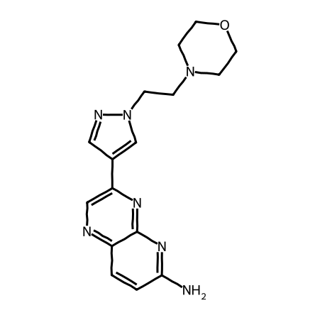 Nc1ccc2ncc(-c3cnn(CCN4CCOCC4)c3)nc2n1